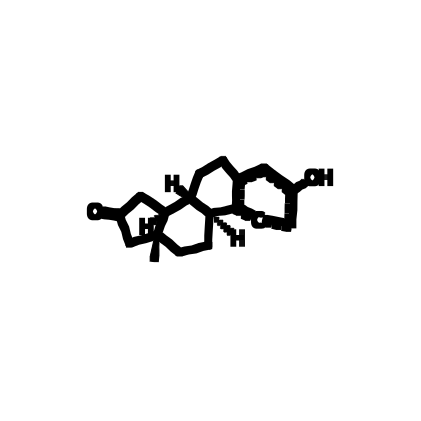 C[C@]12CC[C@@H]3c4ccc(O)cc4CC[C@H]3[C@@H]1CC(=O)C2